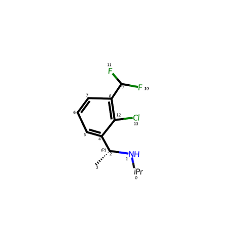 CC(C)N[C@H](C)c1cccc(C(F)F)c1Cl